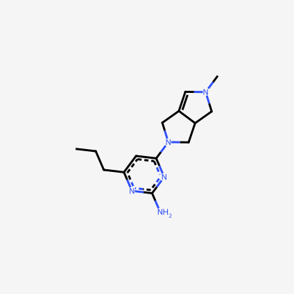 CCCc1cc(N2CC3=CN(C)CC3C2)nc(N)n1